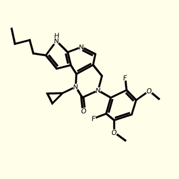 CCCCc1cc2c3c(cnc2[nH]1)CN(c1c(F)c(OC)cc(OC)c1F)C(=O)N3C1CC1